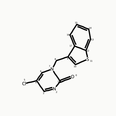 O=c1ncc(Cl)cn1Cc1csc2ccccc12